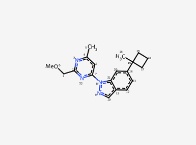 COCc1nc(C)cc(-n2ncc3ccc(C4(C)CCC4)cc32)n1